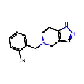 N#Cc1ccccc1CN1CCc2[nH]ncc2C1